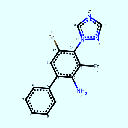 CCc1c(N)c(-c2ccccc2)cc(Br)c1-n1cncn1